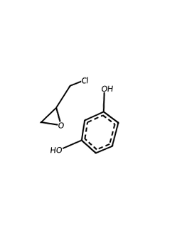 ClCC1CO1.Oc1cccc(O)c1